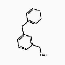 CC(=O)OCc1cccc(CC2=CCCC=C2)c1